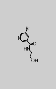 O=C(NCCO)c1cncc(Br)c1